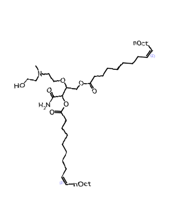 CCCCCCCC/C=C\CCCCCCCC(=O)OCC(OCCN(C)CCO)C(OC(=O)CCCCCCC/C=C\CCCCCCCC)C(N)=O